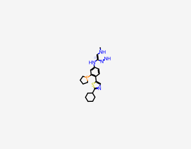 CN/C=C(\N=N)Nc1ccc(-c2cnc(C3CCCCC3)s2)c(P2CCCC2)c1